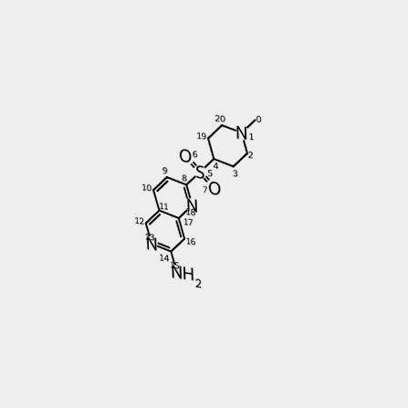 CN1CCC(S(=O)(=O)c2ccc3cnc(N)cc3n2)CC1